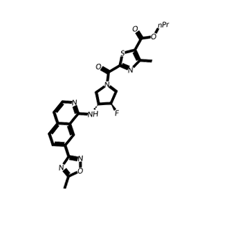 CCCOC(=O)c1sc(C(=O)N2C[C@@H](F)[C@H](Nc3nccc4ccc(-c5noc(C)n5)cc34)C2)nc1C